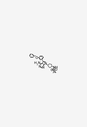 CN(C)S(=O)(=O)N[C@H]1CC[C@@H](n2cc(-c3cccc(OCc4ccccc4)c3)c3c(N)ncnc32)CC1